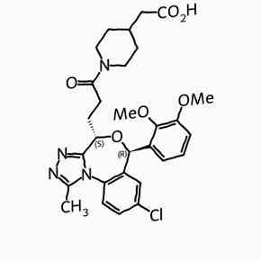 COc1cccc([C@@H]2O[C@@H](CCC(=O)N3CCC(CC(=O)O)CC3)c3nnc(C)n3-c3ccc(Cl)cc32)c1OC